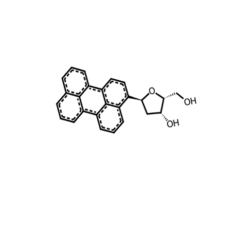 OC[C@H]1O[C@H](c2ccc3c4cccc5cccc(c6cccc2c63)c54)C[C@H]1O